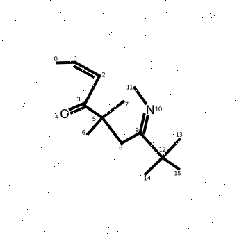 C/C=C\C(=O)C(C)(C)C/C(=N\C)C(C)(C)C